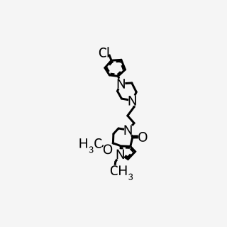 CCn1ccc2c1C(OC)CCN(CCCN1CCN(c3ccc(Cl)cc3)CC1)C2=O